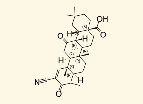 CC1(C)CC[C@]2(C(=O)O)CC[C@]3(C)[C@H](C(=O)C[C@@H]4[C@@]5(C)C=C(C#N)C(=O)C(C)(C)[C@@H]5CC[C@]43C)[C@@H]2C1